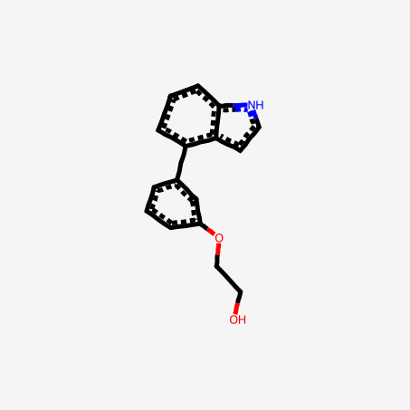 OCCOc1cccc(-c2cccc3[nH]ccc23)c1